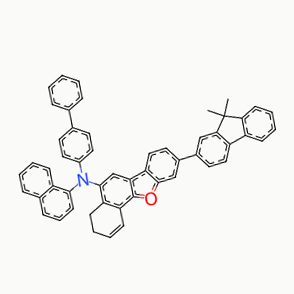 CC1(C)c2ccccc2-c2ccc(-c3ccc4c(c3)oc3c5c(c(N(c6ccc(-c7ccccc7)cc6)c6cccc7ccccc67)cc34)CCC=C5)cc21